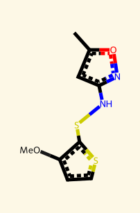 COc1ccsc1SNc1cc(C)on1